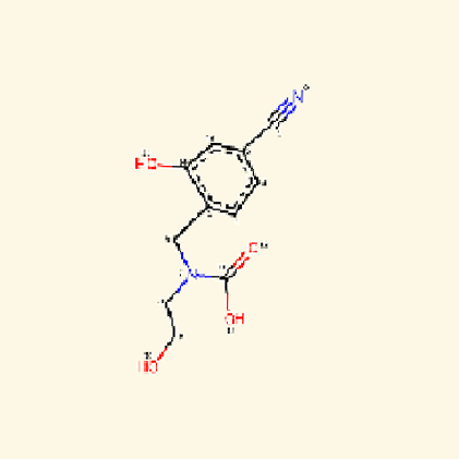 N#Cc1ccc(CN(CCO)C(=O)O)c(O)c1